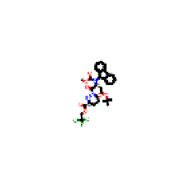 COC(=O)N(C1c2ccccc2-c2ccccc21)[C@@H](CC(=O)OC(C)(C)C)C(=O)N1CCC[C@@H](C(=O)OCC(Cl)(Cl)Cl)N1